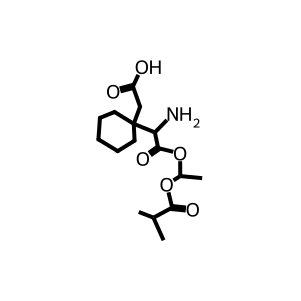 CC(OC(=O)C(C)C)OC(=O)C(N)C1(CC(=O)O)CCCCC1